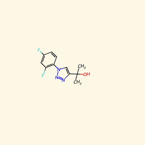 CC(C)(O)c1cn(-c2ccc(F)cc2F)nn1